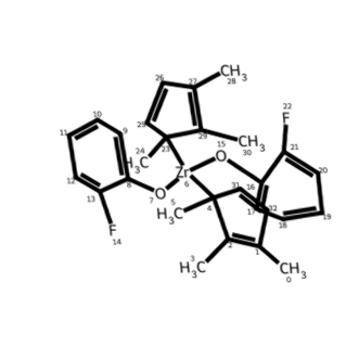 CC1=C(C)[C](C)([Zr]([O]c2ccccc2F)([O]c2ccccc2F)[C]2(C)C=CC(C)=C2C)C=C1